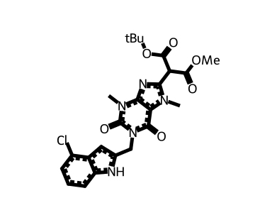 COC(=O)C(C(=O)OC(C)(C)C)c1nc2c(c(=O)n(Cc3cc4c(Cl)cccc4[nH]3)c(=O)n2C)n1C